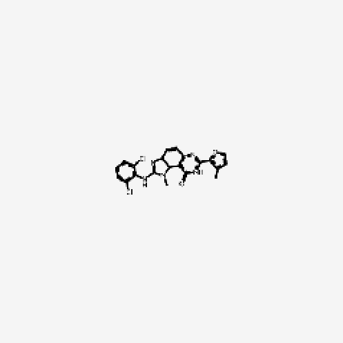 Cc1ccoc1-c1nc2c(c(=O)[nH]1)C1C(C=C2)N=C(Nc2c(Cl)cccc2Cl)N1C